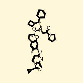 O=C(CN(C[C@@H](c1ccccc1)C1CCC1)C(=O)[C@H]1CCc2cc(F)c(Oc3ccn4c(C5CC5)ncc4n3)cc2O1)N1CCCC1